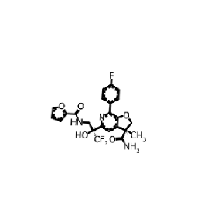 C[C@]1(C(N)=O)COc2c1cc([C@@](O)(CNC(=O)c1ccco1)C(F)(F)F)nc2-c1ccc(F)cc1